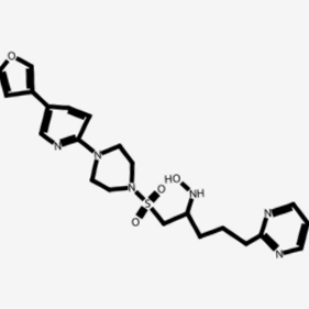 O=S(=O)(CC(CCCc1ncccn1)NO)N1CCN(c2ccc(-c3ccoc3)cn2)CC1